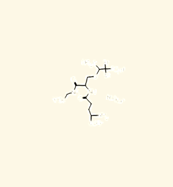 CCC(CC)(C(=O)O)C(SCC(NC(=O)CCC(N)C(=O)[O-])C(=O)NCC(=O)[O-])C(=O)O.[Na+].[Na+]